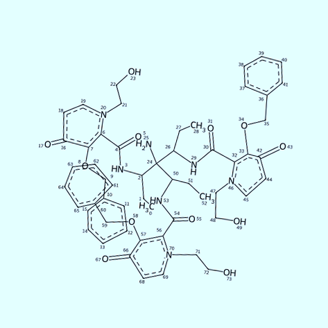 CCC(NC(=O)c1c(OCc2ccccc2)c(=O)ccn1CCO)C(N)(C(CC)NC(=O)c1c(OCc2ccccc2)c(=O)ccn1CCO)C(CC)NC(=O)c1c(OCc2ccccc2)c(=O)ccn1CCO